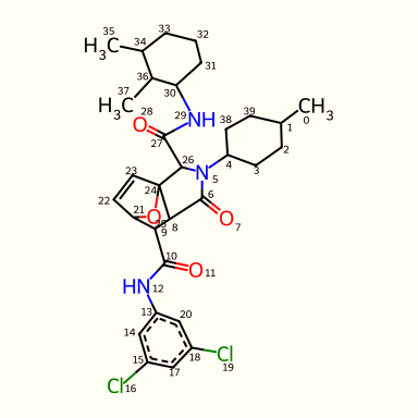 CC1CCC(N2C(=O)C3C(C(=O)Nc4cc(Cl)cc(Cl)c4)C4C=CC3(O4)C2C(=O)NC2CCCC(C)C2C)CC1